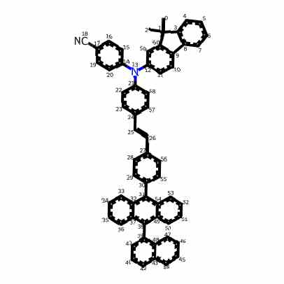 CC1(C)c2ccccc2-c2ccc(N(c3ccc(C#N)cc3)c3ccc(/C=C/c4ccc(-c5c6ccccc6c(-c6cccc7ccccc67)c6ccccc56)cc4)cc3)cc21